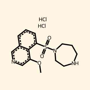 COc1cncc2cccc(S(=O)(=O)N3CCCNCC3)c12.Cl.Cl